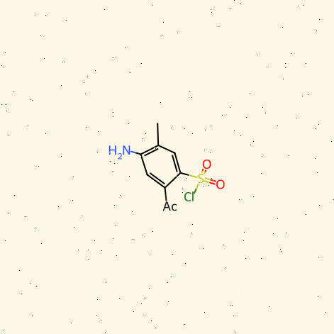 CC(=O)c1cc(N)c(C)cc1S(=O)(=O)Cl